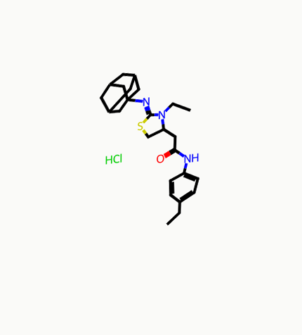 CCc1ccc(NC(=O)CC2CS/C(=N\C34CC5CC(CC(C5)C3)C4)N2CC)cc1.Cl